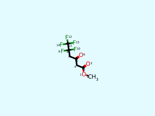 COC(=O)CC(=O)CC(F)(F)C(F)(F)F